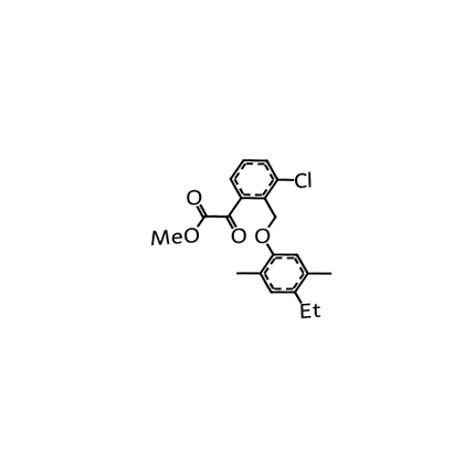 CCc1cc(C)c(OCc2c(Cl)cccc2C(=O)C(=O)OC)cc1C